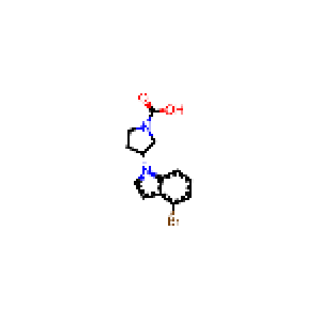 O=C(O)N1CC[C@@H](n2ccc3c(Br)cccc32)C1